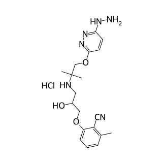 Cc1cccc(OCC(O)CNC(C)(C)COc2ccc(NN)nn2)c1C#N.Cl